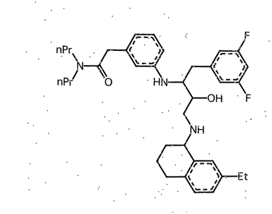 CCCN(CCC)C(=O)Cc1cccc(NC(Cc2cc(F)cc(F)c2)C(O)CNC2CCCc3ccc(CC)cc32)c1